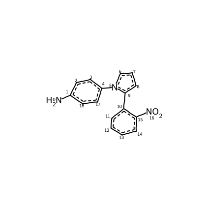 Nc1ccc(-n2cccc2-c2ccccc2[N+](=O)[O-])cc1